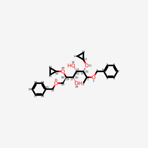 CC(OCc1ccccc1)[C@@H](OC1CC1)[C@@H](O)[C@H](O)[C@@H](COCc1ccccc1)OC1CC1